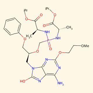 COCCOc1nc(N)c2nc(O)n(C[C@@H](COc3ccccc3)OCP(=O)(N[C@@H](C)C(=O)OC(C)C)N[C@@H](C)C(=O)OC(C)C)c2n1